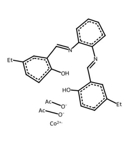 CC(=O)[O-].CC(=O)[O-].CCc1ccc(O)c(C=Nc2ccccc2N=Cc2cc(CC)ccc2O)c1.[Co+2]